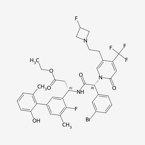 CCOC(=O)C[C@H](NC(=O)[C@@H](c1cccc(Br)c1)n1cc(CCN2CC(F)C2)c(C(F)(F)F)cc1=O)c1cc(-c2c(C)cccc2O)cc(C)c1F